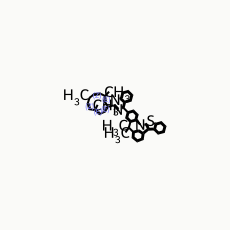 CC1=C\C=C(c2nc(-c3ccc4c(c3)C(C)(C)c3cccc5c6c7ccccc7sc6n-4c35)c3ccccc3n2)/C=C(C)/C=C\C(C)/C=C\1